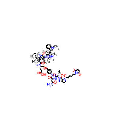 CN[C@H](C(=O)N[C@H](C(=O)N(C)[C@H](/C=C(\C)C(=O)N[C@@H](CCC(=O)O)C(=O)OCc1ccc(NC(=O)[C@H](CC(N)=O)NC(=O)[C@H](C)NC(=O)[C@@H]2CCCN2C(=O)CCCCCN2C(=O)C=CC2=O)cc1)C(C)C)C(C)(C)C)C(C)(C)c1cn(C)c2ccccc12